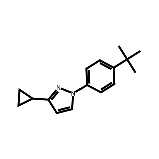 CC(C)(C)c1ccc(-n2ccc(C3CC3)n2)cc1